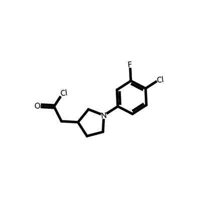 O=C(Cl)CC1CCN(c2ccc(Cl)c(F)c2)C1